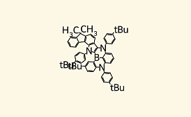 CC(C)(C)c1ccc(N2c3ccc(C(C)(C)C)cc3B3c4c2cccc4N(c2ccc(C(C)(C)C)cc2)c2c3n(-c3ccc(C(C)(C)C)cc3)c3c4c(ccc23)C(C)(C)c2ccccc2-4)cc1